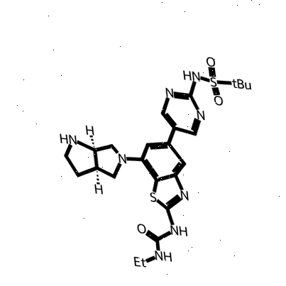 CCNC(=O)Nc1nc2cc(-c3cnc(NS(=O)(=O)C(C)(C)C)nc3)cc(N3C[C@H]4CCN[C@H]4C3)c2s1